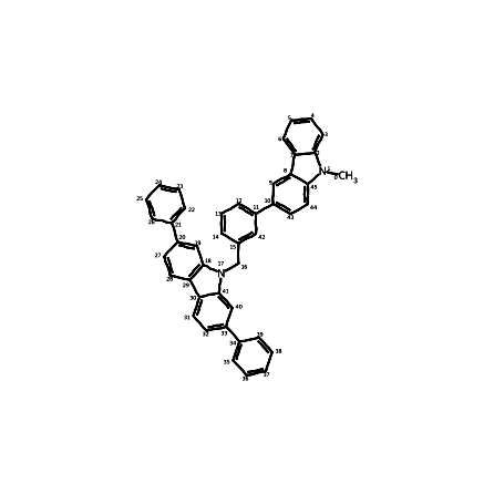 Cn1c2ccccc2c2cc(-c3cccc(Cn4c5cc(-c6ccccc6)ccc5c5ccc(-c6ccccc6)cc54)c3)ccc21